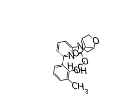 COC(=O)C1C2CN(c3cccc(-c4cccc(C)c4O)n3)C1CO2